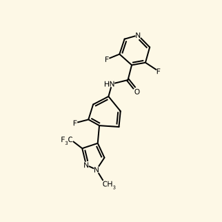 Cn1cc(-c2ccc(NC(=O)c3c(F)cncc3F)cc2F)c(C(F)(F)F)n1